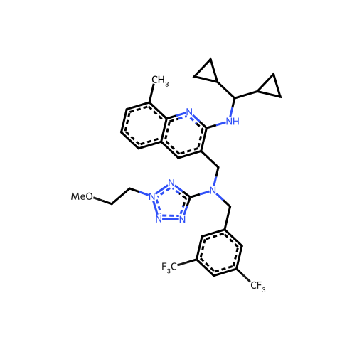 COCCn1nnc(N(Cc2cc(C(F)(F)F)cc(C(F)(F)F)c2)Cc2cc3cccc(C)c3nc2NC(C2CC2)C2CC2)n1